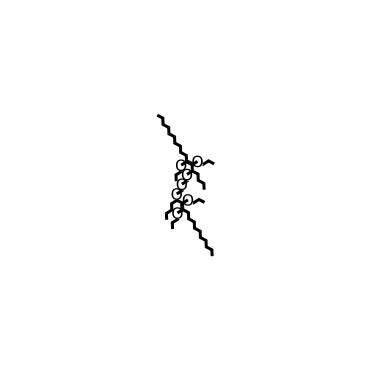 CCCCCCCCCCC(OCCC)=C(OCCC)C(CCCC)OCOCOC(CCCC)C(OCCC)=C(CCCCCCCCCC)OCCC